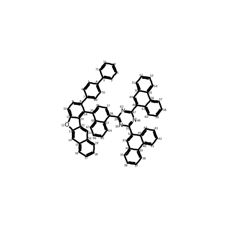 c1ccc(-c2ccc(-c3ccc4oc5cc6ccccc6cc5c4c3-c3ccc(-c4nc(-c5cc6ccccc6c6ccccc56)nc(-c5cc6ccccc6c6ccccc56)n4)c4ccccc34)cc2)cc1